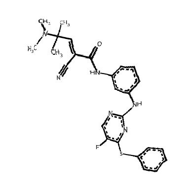 CN(C)C(C)(C)C=C(C#N)C(=O)Nc1cccc(Nc2ncc(F)c(Sc3ccccc3)n2)c1